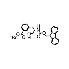 CC(C)(C)OC(=O)c1cccc(C[C@H](CO)NC(=O)OCC2c3ccccc3-c3ccccc32)c1